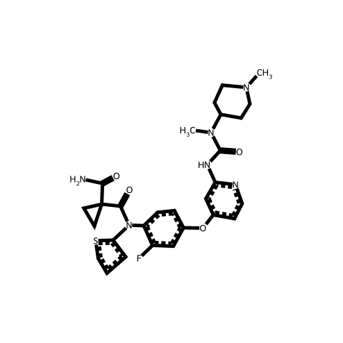 CN1CCC(N(C)C(=O)Nc2cc(Oc3ccc(N(C(=O)C4(C(N)=O)CC4)c4cccs4)c(F)c3)ccn2)CC1